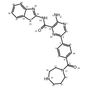 Nc1ncc(-c2ccc(C(=O)N3CCCNCC3)cc2)nc1C(=O)Nc1nc2ccccc2s1